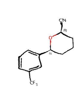 N#C[C@H]1CCC[C@@H](c2cccc(C(F)(F)F)c2)O1